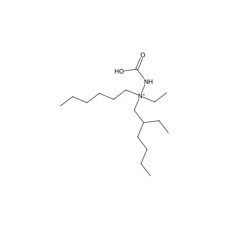 CCCCCC[N+](CC)(CC(CC)CCCC)NC(=O)O